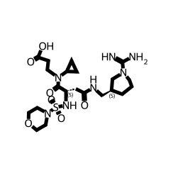 N=C(N)N1CCC[C@@H](CNC(=O)C[C@H](NS(=O)(=O)N2CCOCC2)C(=O)N(CCC(=O)O)C2CC2)C1